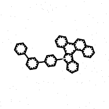 c1ccc(-c2cccc(-c3ccc(-n4c5ccccc5c5c6c7ccccc7ccc6c6ccccc6c54)cc3)c2)cc1